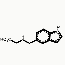 O=C(O)CNCc1ccc2[nH]ccc2c1